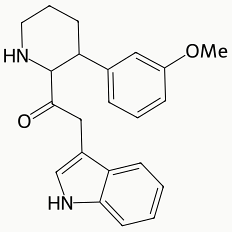 COc1cccc(C2CCCNC2C(=O)Cc2c[nH]c3ccccc23)c1